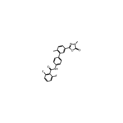 Cc1ccc(-c2nn(C)c(=O)o2)cc1-c1ccc(NC(=O)c2c(F)cccc2F)cc1